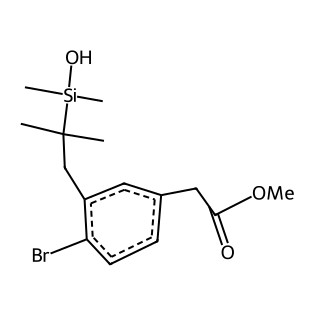 COC(=O)Cc1ccc(Br)c(CC(C)(C)[Si](C)(C)O)c1